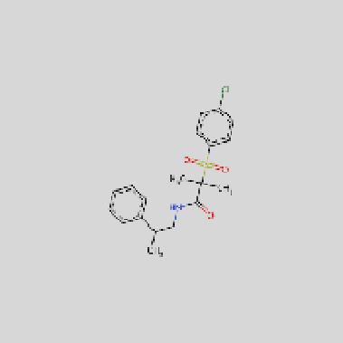 CC(CNC(=O)C(C)(C)S(=O)(=O)c1ccc(Cl)cc1)c1ccccc1